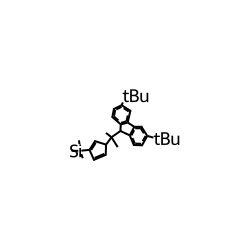 CC(C)(C)c1ccc2c(c1)-c1cc(C(C)(C)C)ccc1C2C(C)(C)C1C=CC([Si](C)(C)C)=C1